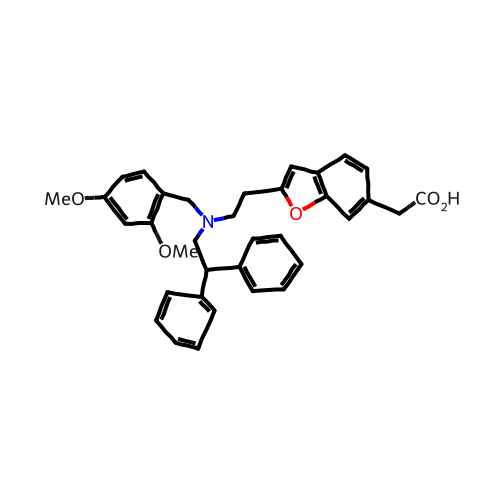 COc1ccc(CN(CCc2cc3ccc(CC(=O)O)cc3o2)CC(c2ccccc2)c2ccccc2)c(OC)c1